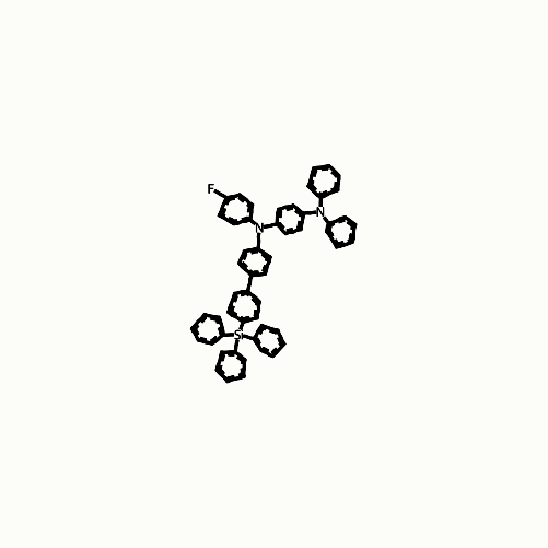 Fc1ccc(N(c2ccc(-c3ccc([Si](c4ccccc4)(c4ccccc4)c4ccccc4)cc3)cc2)c2ccc(N(c3ccccc3)c3ccccc3)cc2)cc1